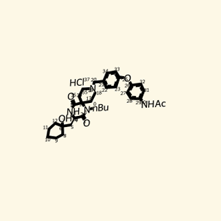 CCCCN1C(=O)[C@@H](CC2(O)CCCCC2)NC(=O)C12CCN(Cc1ccc(Oc3ccc(NC(C)=O)cc3)cc1)CC2.Cl